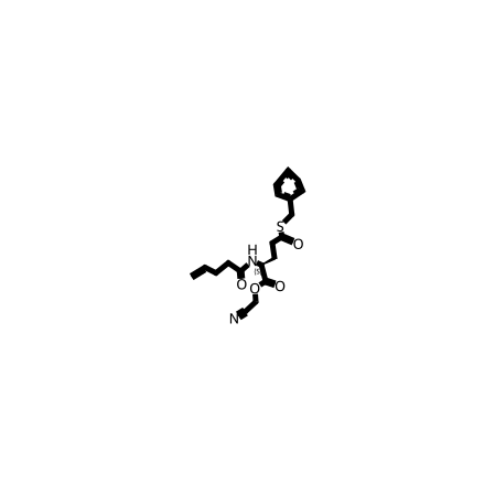 C=CCCC(=O)N[C@@H](CCC(=O)SCc1ccccc1)C(=O)OCC#N